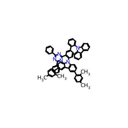 Cc1ccc(-c2ccc3c(c2)c2cc(-c4ccc(C)cc4C)ccc2n3-c2ccc(-c3ccccc3-n3c4ccccc4c4ccccc43)cc2-c2nc(-c3ccccc3)nc(-c3ccccc3)n2)c(C)c1